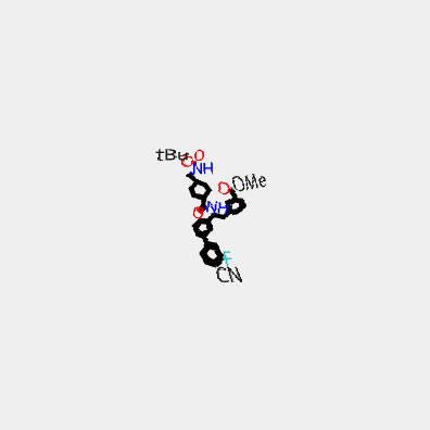 COC(=O)c1cccc(CC(NC(=O)C2CCC(CNC(=O)OC(C)(C)C)CC2)c2cccc(-c3ccc(C#N)c(F)c3)c2)c1